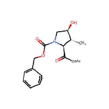 COC(=O)[C@@H]1[C@@H](C)[C@H](O)CN1C(=O)OCc1ccccc1